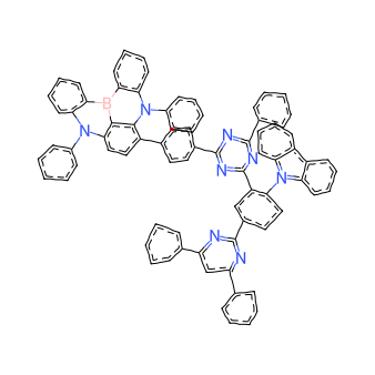 c1ccc(-c2cc(-c3ccccc3)nc(-c3ccc(-n4c5ccccc5c5ccccc54)c(-c4nc(-c5ccccc5)nc(-c5ccc(-c6ccc7c8c6N(c6ccccc6)c6ccccc6B8c6ccccc6N7c6ccccc6)cc5)n4)c3)n2)cc1